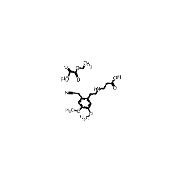 CCOC(=O)C(=O)O.COc1cc(CC#N)c(CCNCCC(=O)O)cc1OC